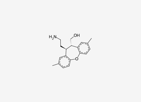 Cc1ccc2c(c1)[C@@H](CO)[C@H](CCN)c1cc(C)ccc1O2